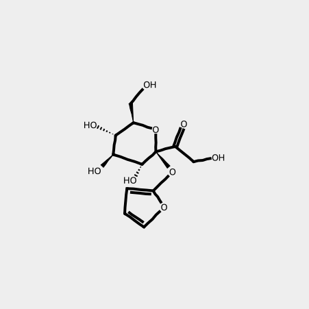 O=C(CO)[C@@]1(Oc2ccco2)O[C@H](CO)[C@@H](O)[C@H](O)[C@H]1O